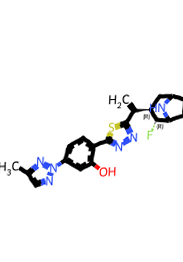 C=C(c1nnc(-c2ccc(-n3ncc(C)n3)cc2O)s1)[C@H]1CC2CCC(N2)[C@@H]1F